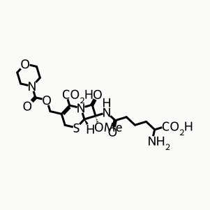 CO[C@@]1(NC(=O)CCCC(N)C(=O)O)C(=O)N2C(C(=O)O)=C(COC(=O)N3CCOCC3)CS[C@H]21